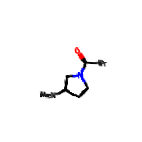 CNC1CCN(C(=O)C(C)C)C1